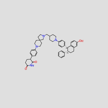 O=C1CCC(c2ccc(N3CCC4(CCN(CC5CCN(c6ccc([C@@H]7c8ccc(O)cc8CC[C@@H]7c7ccccc7)cc6)CC5)C4)CC3)cc2)C(=O)N1